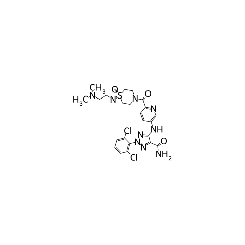 CN(C)CCN=S1(=O)CCN(C(=O)c2ccc(Nc3nn(-c4c(Cl)cccc4Cl)nc3C(N)=O)cn2)CC1